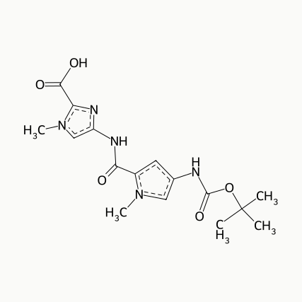 Cn1cc(NC(=O)OC(C)(C)C)cc1C(=O)Nc1cn(C)c(C(=O)O)n1